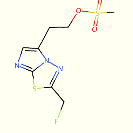 CS(=O)(=O)OCCc1cnc2sc(CF)nn12